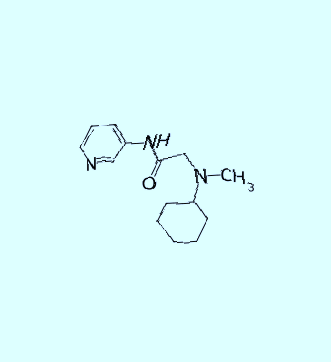 CN(CC(=O)Nc1cccnc1)C1CCCCC1